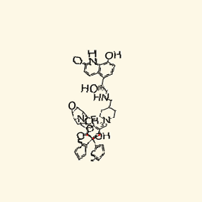 C[N+]1(Cc2cccc(CN3CCC(CNC[C@H](O)c4ccc(O)c5[nH]c(=O)ccc45)CC3)c2F)C2CC(OC(=O)C(O)(c3cccs3)c3cccs3)CC1C1OC12